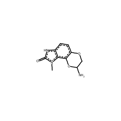 Cn1c(=O)[nH]c2ccc3c(c21)OC(N)CO3